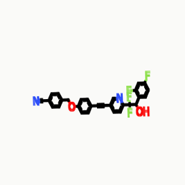 N#Cc1ccc(COc2ccc(C#Cc3ccc(C(F)(F)C(O)c4ccc(F)cc4F)nc3)cc2)cc1